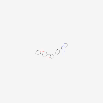 C1=CC2NC(c3ccc(-c4ccc5oc6cc7c(cc6c5c4)oc4ccccc47)cc3)=CN2C=C1